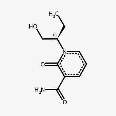 CC[C@H](CO)n1cccc(C(N)=O)c1=O